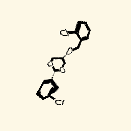 Clc1cccc([C@H]2OC[C@@H](OCc3ccccc3Cl)CO2)c1